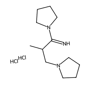 CC(CN1CCCC1)C(=N)N1CCCC1.Cl.Cl